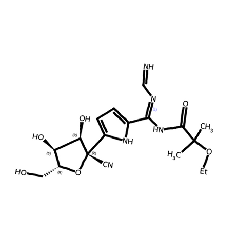 CCOC(C)(C)C(=O)N/C(=N/C=N)c1ccc([C@]2(C#N)O[C@H](CO)[C@@H](O)[C@H]2O)[nH]1